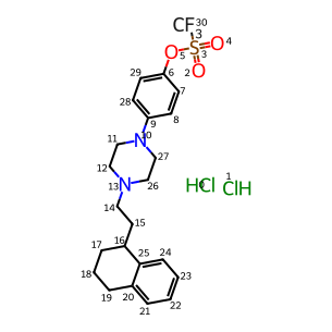 Cl.Cl.O=S(=O)(Oc1ccc(N2CCN(CCC3CCCc4ccccc43)CC2)cc1)C(F)(F)F